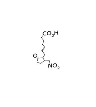 O=C(O)CCC/C=C/CC1C(=O)CCC1C[N+](=O)[O-]